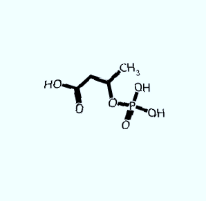 CC(CC(=O)O)OP(=O)(O)O